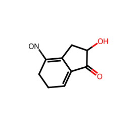 O=NC1=C2CC(O)C(=O)C2=CCC1